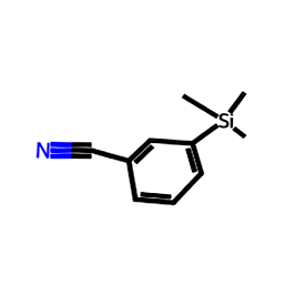 C[Si](C)(C)c1cccc(C#N)c1